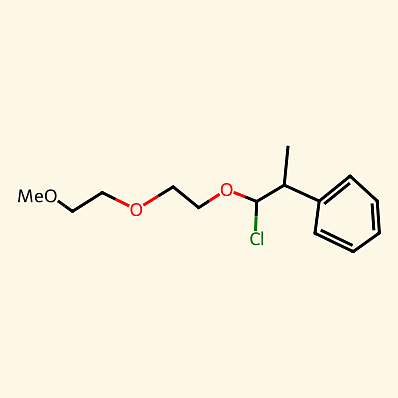 COCCOCCOC(Cl)C(C)c1ccccc1